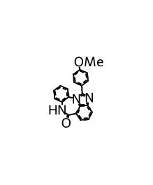 COc1ccc(-c2nc3cccc4c3n2-c2ccccc2NC4=O)cc1